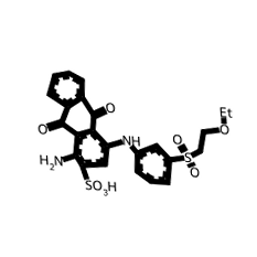 CCOCCS(=O)(=O)c1cccc(Nc2cc(S(=O)(=O)O)c(N)c3c2C(=O)c2ccccc2C3=O)c1